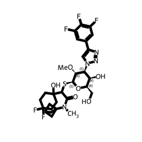 CO[C@@H]1[C@@H](n2cc(-c3cc(F)c(F)c(F)c3)nn2)[C@@H](O)[C@@H](CO)O[C@H]1SC(C(=O)N(C)C12CC(C1)C2)C1(O)CCC(F)(F)CC1